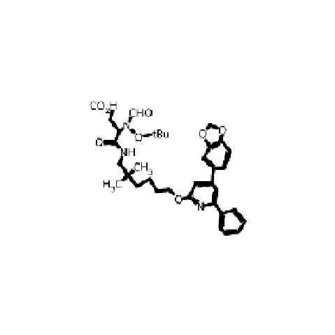 CC(C)(CCCCOc1cc(-c2ccc3c(c2)OCO3)cc(-c2ccccc2)n1)CNC(=O)C(CC(=O)O)N(C=O)OC(C)(C)C